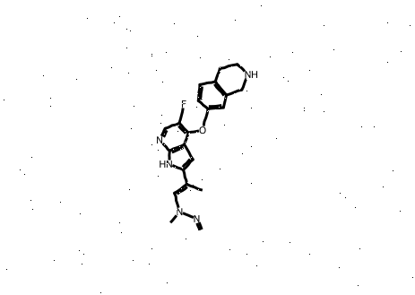 C=NN(C)/C=C(\C)c1cc2c(Oc3ccc4c(c3)CNCC4)c(F)cnc2[nH]1